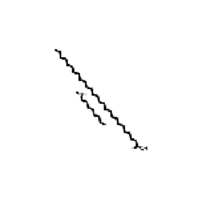 CCCCCCCCCCCCCCCCCCCCCCCCCCC(=O)O.CCCCCCCCNC